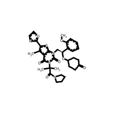 COc1ccccc1[C@H](Cn1c(=O)n(C(C)(C)C(=O)N2CCCC2)c(=O)c2c(C)c(-c3ncco3)sc21)OC1CCC(=O)CC1